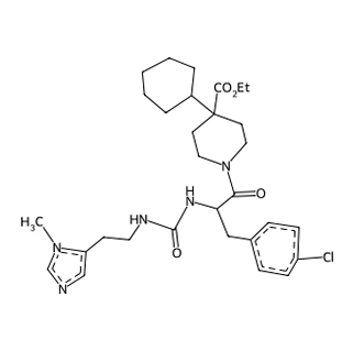 CCOC(=O)C1(C2CCCCC2)CCN(C(=O)C(Cc2ccc(Cl)cc2)NC(=O)NCCc2cncn2C)CC1